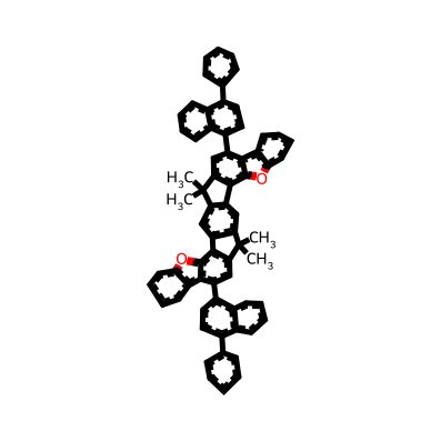 CC1(C)c2cc3c(cc2-c2c1cc(-c1ccc(-c4ccccc4)c4ccccc14)c1c2oc2ccccc21)C(C)(C)c1cc(-c2ccc(-c4ccccc4)c4ccccc24)c2c(oc4ccccc42)c1-3